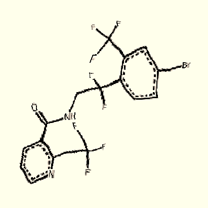 O=C(NCC(F)(F)c1ccc(Br)cc1C(F)(F)F)c1cccnc1C(F)(F)F